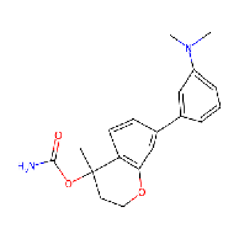 CN(C)c1cccc(-c2ccc3c(c2)OCCC3(C)OC(N)=O)c1